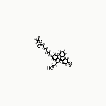 COc1ccc([C@@](CCCCO)(c2ccccc2)c2ccc(OCCCCCC(=O)OC(C)(C)C)cc2)cc1